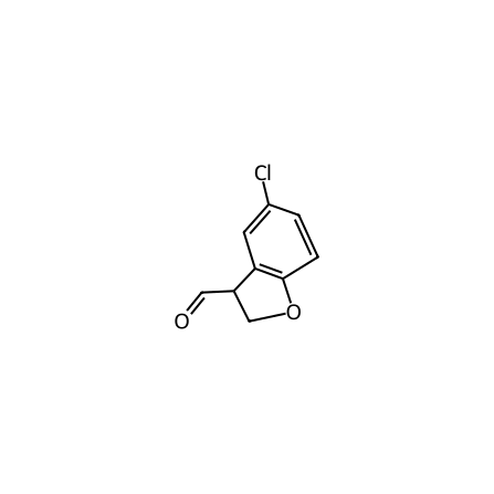 O=CC1COc2ccc(Cl)cc21